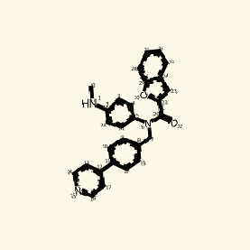 CNc1ccc(N(Cc2ccc(-c3ccncc3)cc2)C(=O)c2cc3ccccc3o2)cc1